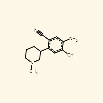 Cc1cc(C2CCCN(C)C2)c(C#N)cc1N